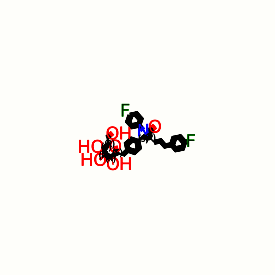 O=C1[C@H](CCCc2ccc(F)cc2)[C@@H](c2ccc(C[C@@H]3O[C@H](CO)[C@@H](O)[C@H](O)[C@H]3O)cc2)N1c1ccc(F)cc1